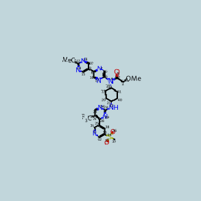 COCC(=O)N(c1cnc(-c2cnc(OC)nc2)cn1)[C@H]1CC[C@H](Nc2ncc(C(F)(F)F)c(-c3cncc(S(C)(=O)=O)c3)n2)CC1